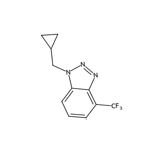 FC(F)(F)c1[c]ccc2c1nnn2CC1CC1